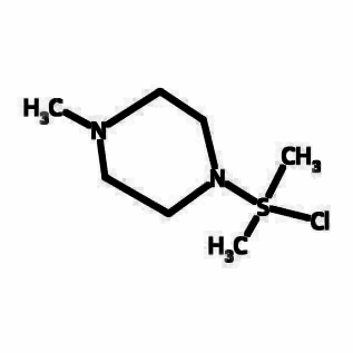 CN1CCN(S(C)(C)Cl)CC1